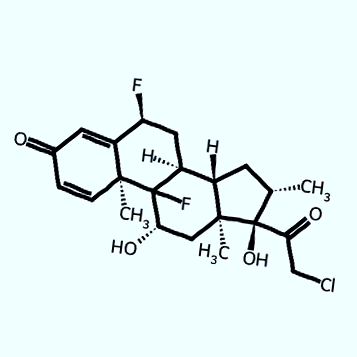 C[C@H]1C[C@H]2[C@@H]3C[C@H](F)C4=CC(=O)C=C[C@]4(C)C3(F)[C@@H](O)C[C@]2(C)[C@@]1(O)C(=O)CCl